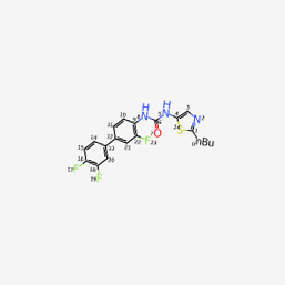 CCCCc1ncc(NC(=O)Nc2ccc(-c3ccc(F)c(F)c3)cc2F)s1